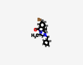 C[C@@H]1CN(Cc2ccccc2)C[C@@H]2c3ccc(Br)cc3C(=O)N12